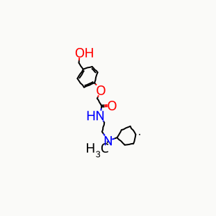 CN(CCNC(=O)COc1ccc(CO)cc1)C1CC[CH]CC1